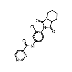 O=C(Nc1ccc(N2C(=O)C3CCCCN3C2=O)c(Cl)c1)c1ccncn1